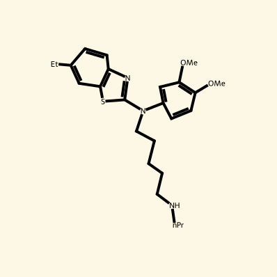 CCCNCCCCCN(c1ccc(OC)c(OC)c1)c1nc2ccc(CC)cc2s1